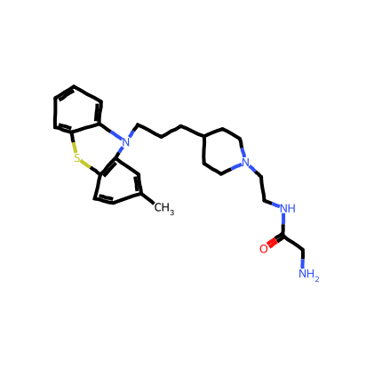 Cc1ccc2c(c1)N(CCCC1CCN(CCNC(=O)CN)CC1)c1ccccc1S2